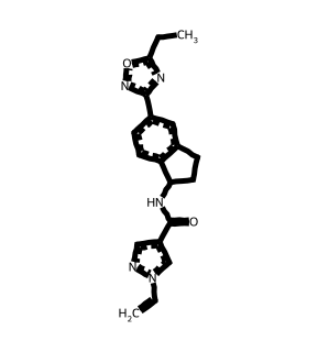 C=Cn1cc(C(=O)NC2CCc3cc(-c4noc(CC)n4)ccc32)cn1